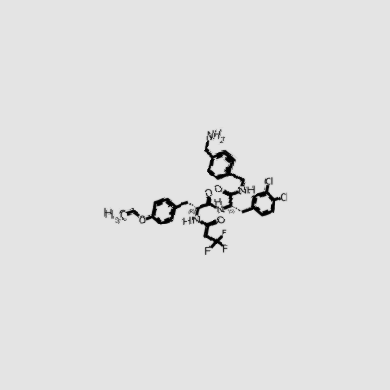 CCOc1ccc(C[C@@H](NC(=O)CC(F)(F)F)C(=O)N[C@@H](Cc2ccc(Cl)c(Cl)c2)C(=O)NCc2ccc(CN)cc2)cc1